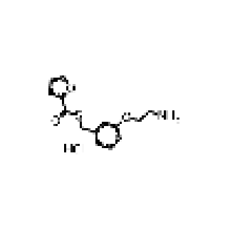 Cl.NCCOc1cccc(CSC(=O)c2ccco2)c1